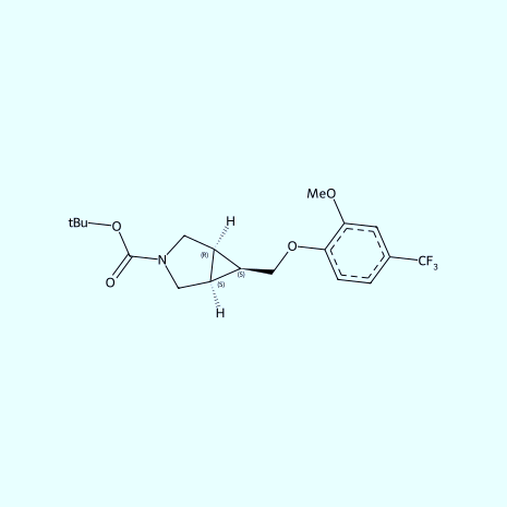 COc1cc(C(F)(F)F)ccc1OC[C@H]1[C@H]2CN(C(=O)OC(C)(C)C)C[C@@H]12